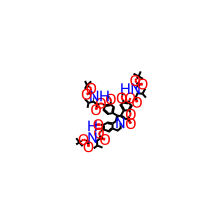 COc1cc(-c2c3n(c4c(=O)oc5cc(OC(=O)[C@H](NC(=O)OC(C)(C)C)C(C)C)c(OC)cc5c24)CCc2cc(OC(=O)[C@H](NC(=O)OC(C)(C)C)C(C)C)c(OC)cc2-3)ccc1OC(=O)[C@H](NC(=O)OC(C)(C)C)C(C)C